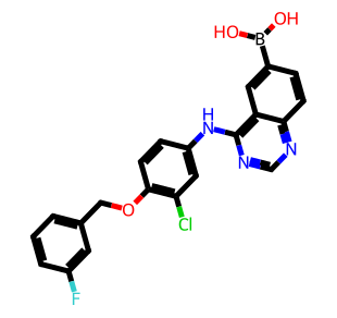 OB(O)c1ccc2ncnc(Nc3ccc(OCc4cccc(F)c4)c(Cl)c3)c2c1